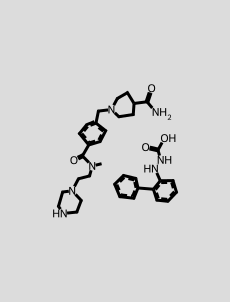 CN(CCN1CCNCC1)C(=O)c1ccc(CN2CCC(C(N)=O)CC2)cc1.O=C(O)NNc1ccccc1-c1ccccc1